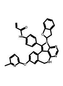 C=CC(=O)Nc1ccc(-c2c3c4c(ncnc4n2C2Cc4ccccc4O2)NCc2cc(Oc4cccc(C)n4)ccc2-3)cc1